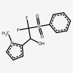 Cn1cccc1C(O)C(F)(F)S(=O)(=O)c1ccccc1